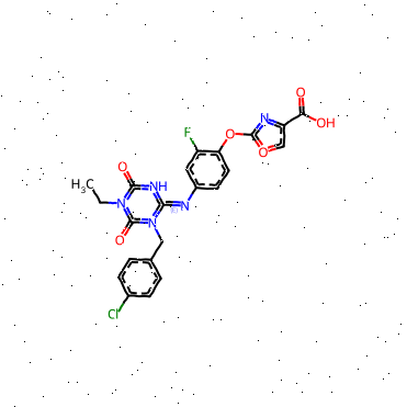 CCn1c(=O)[nH]/c(=N\c2ccc(Oc3nc(C(=O)O)co3)c(F)c2)n(Cc2ccc(Cl)cc2)c1=O